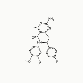 COc1cccc(-c2cc(F)ccc2C2Cc3nc(N)nc(C)c3C(=O)N2)c1OC